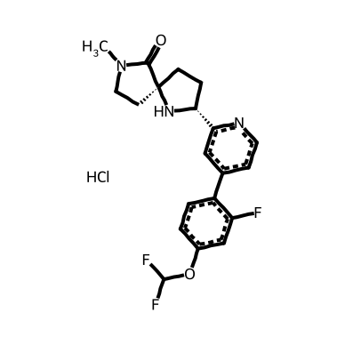 CN1CC[C@@]2(CC[C@H](c3cc(-c4ccc(OC(F)F)cc4F)ccn3)N2)C1=O.Cl